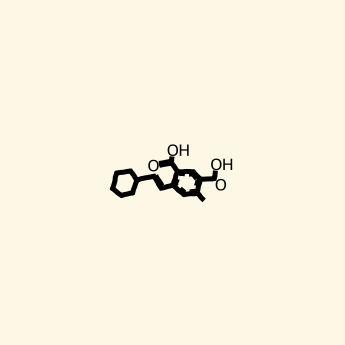 Cc1cc(/C=C/C2CCCCC2)c(C(=O)O)cc1C(=O)O